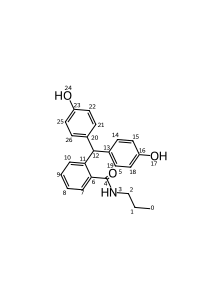 CCCNC(=O)c1ccccc1C(c1ccc(O)cc1)c1ccc(O)cc1